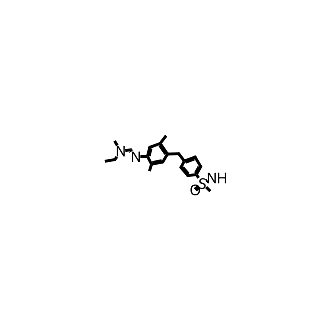 CCN(C)C=Nc1cc(C)c(Cc2ccc(S(C)(=N)=O)cc2)cc1C